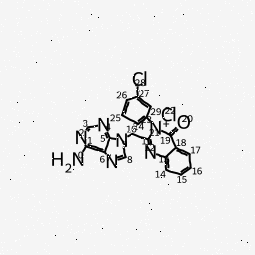 Nc1ncnc2c1ncn2CC1=Nc2ccccc2C(=O)[N+]1(Cl)c1cccc(Cl)c1